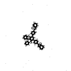 c1ccc2c(c1)Sc1c(-c3ccc(-c4cc5ccccc5o4)cc3)cc(-c3ccc(-c4cc5ccccc5o4)cc3)c3c1B2c1ccccc1S3